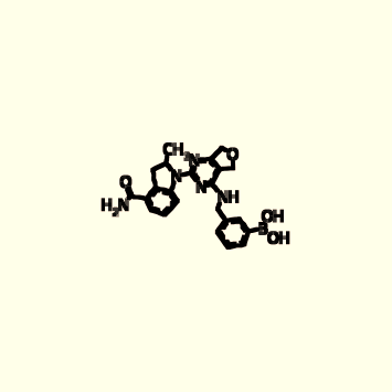 CC1Cc2c(C(N)=O)cccc2N1c1nc2c(c(NCc3cccc(B(O)O)c3)n1)COC2